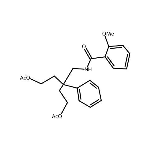 COc1ccccc1C(=O)NCC(CCOC(C)=O)(CCOC(C)=O)c1ccccc1